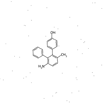 Cc1ccc(N)c(-c2ccccc2)c1-c1ccc(O)cc1